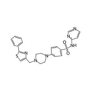 O=S(=O)(Nc1ccncn1)c1ccc(N2CCN(Cc3csc(-c4ccccc4)n3)CC2)cc1